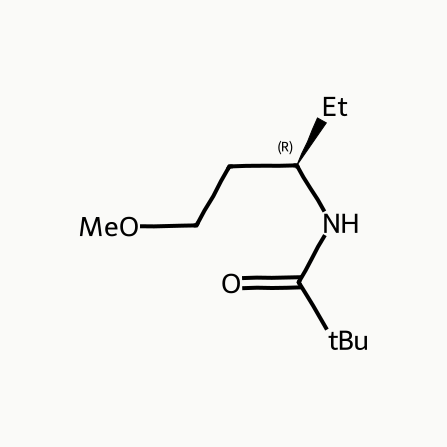 CC[C@H](CCOC)NC(=O)C(C)(C)C